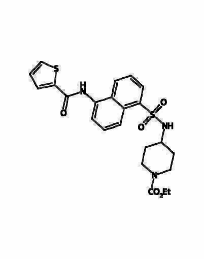 CCOC(=O)N1CCC(NS(=O)(=O)c2cccc3c(NC(=O)c4cccs4)cccc23)CC1